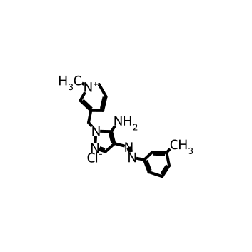 Cc1cccc(N=Nc2cnn(Cc3ccc[n+](C)c3)c2N)c1.[Cl-]